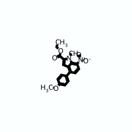 CCOC(=O)c1cc2c(-c3ccc(OC)cc3)ccc([N+](=O)[O-])c2n1C